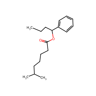 CCCC(OC(=O)CCCCC(C)C)c1ccccc1